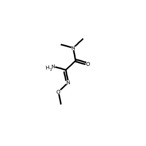 CON=C(N)C(=O)N(C)C